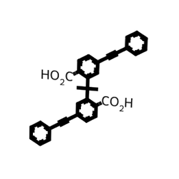 CC(C)(c1cc(C#Cc2ccccc2)ccc1C(=O)O)c1cc(C#Cc2ccccc2)ccc1C(=O)O